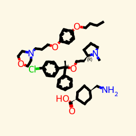 CCCCOc1ccc(OCCCN2CCOCC2)cc1.CN1CCC[C@@H]1CCO[C@](C)(c1ccccc1)c1ccc(Cl)cc1.NC[C@H]1CC[C@H](C(=O)O)CC1